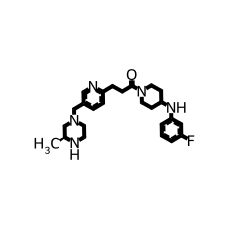 C[C@H]1CN(Cc2ccc(CCC(=O)N3CCC(Nc4cccc(F)c4)CC3)nc2)CCN1